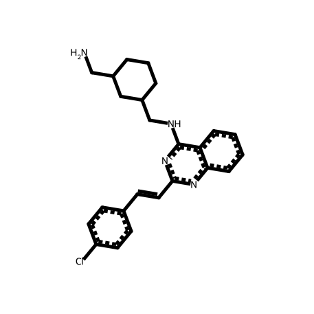 NCC1CCCC(CNc2nc(C=Cc3ccc(Cl)cc3)nc3ccccc23)C1